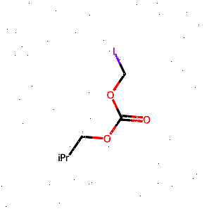 CC(C)COC(=O)OCI